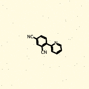 N#Cc1ccc(-c2ccccn2)c(C#N)c1